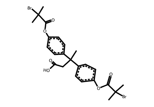 CC(C)(Br)C(=O)Oc1ccc(C(C)(CC(=O)O)c2ccc(OC(=O)C(C)(C)Br)cc2)cc1